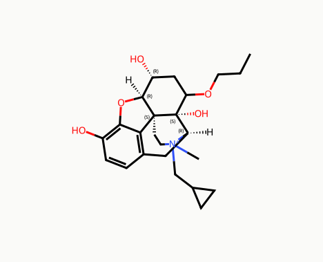 CCCOC1C[C@@H](O)[C@@H]2Oc3c(O)ccc4c3[C@@]23CC[N+](C)(CC2CC2)[C@H](C4)[C@]13O